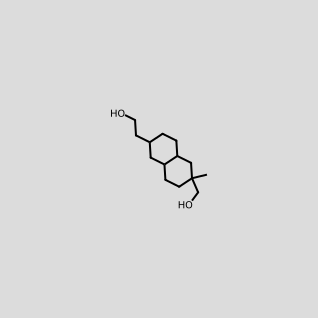 CC1(CO)CCC2CC(CCO)CCC2C1